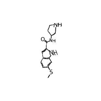 CSc1ccc2cc(C(=O)NC3CCNC3)[nH]c2c1